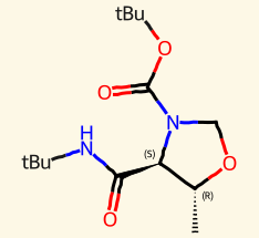 C[C@H]1OCN(C(=O)OC(C)(C)C)[C@@H]1C(=O)NC(C)(C)C